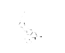 CCC1(n2c(=O)c(C#N)cc3cnc(Nc4ccc(OCCN(C)C)cn4)nc32)CCC1